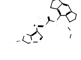 COC[C@H]1CCc2cc3c(c(NC(=O)N=[S@](N)(=O)c4cnn5c4O[C@H](C)C5)c21)CCC3